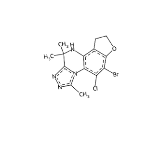 Cc1nnc2n1-c1c(Cl)c(Br)c3c(c1NC2(C)C)CCO3